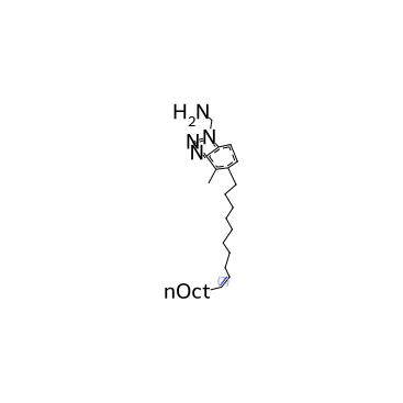 CCCCCCCC/C=C\CCCCCCCCc1ccc2c(nnn2CN)c1C